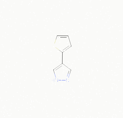 [c]1csc(-c2cn[nH]c2)c1